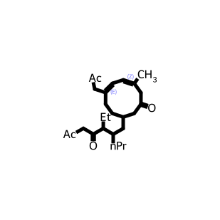 CCCC(CC1CC/C(CC(C)=O)=C\C=C(\C)CC(=O)C1)C(CC)C(=O)CC(C)=O